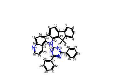 CC1(C)c2ccccc2-c2ccc3c4ccc5ncccc5c4n(-c4nc(-c5ccccc5)nc(-c5ccccc5)n4)c3c21